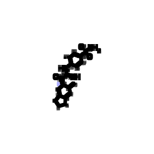 C=C1C=C2CCCC2=C/C1=[N+](\[O-])C(=N)Nc1ccc(S(N)(=O)=O)cc1